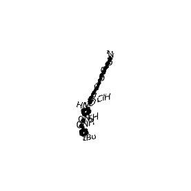 CN(C)CCOCCOCCOCCOCCOCC(=O)Nc1ccc(N(S)C(=O)NC(=O)c2ccc(C(C)(C)C)cc2)cc1.Cl